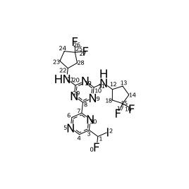 FC(I)c1cncc(-c2nc(NC3CCC(F)(F)C3)nc(NC3CCC(F)(F)C3)n2)n1